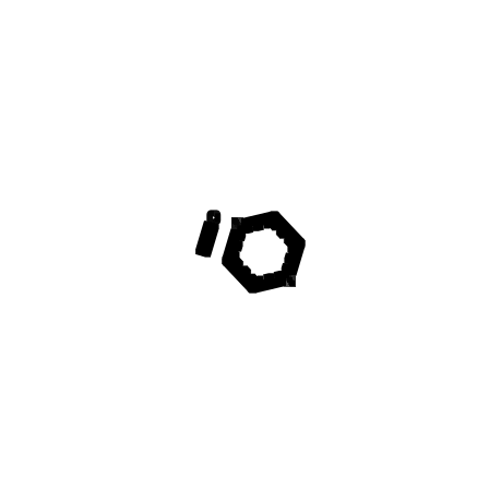 C=O.c1cnccn1